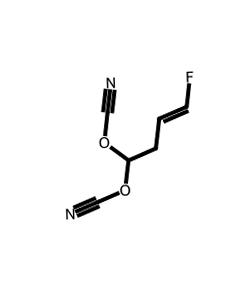 N#COC(CC=CF)OC#N